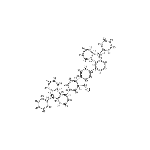 O=C1c2cc(-c3cccc4c3c3ccccc3n4-c3ccccc3)ccc2-c2ccc(-c3cccc4c3c3ccccc3n4-c3ccccc3)cc21